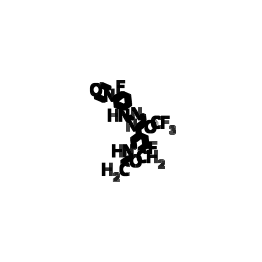 C=CC(=O)NC/C=C(\C=C(\F)C=C)c1nc(Nc2ccc(F)c(N3CCOCC3)c2)ncc1OC(F)(F)F